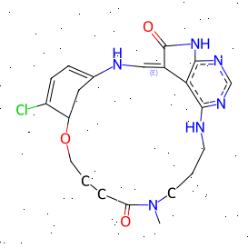 CN1CCCNc2ncnc3c2/C(=C\NC2=CC=C(Cl)C(C2)OCCCC1=O)C(=O)N3